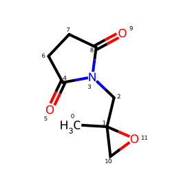 CC1(CN2C(=O)CCC2=O)CO1